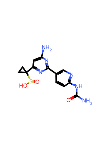 NC(=O)Nc1ccc(-c2nc(N)cc(C3(S(=O)O)CC3)n2)cn1